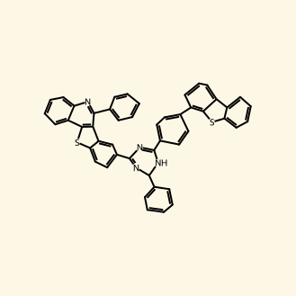 c1ccc(-c2nc3ccccc3c3sc4ccc(C5=NC(c6ccccc6)NC(c6ccc(-c7cccc8c7sc7ccccc78)cc6)=N5)cc4c23)cc1